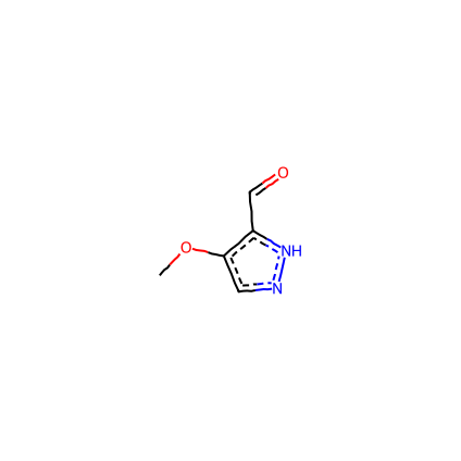 COc1cn[nH]c1C=O